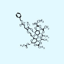 CNC(=O)O[C@H]1[C@H](OC(C)=O)[C@H](OC(C)=O)[C@@H](O[C@@H]2C(OCCOCCNC(=O)OCc3ccccc3)O[C@@H](COC(C)=O)[C@@H](OC(C)=O)[C@@H]2OC(C)=O)O[C@@H]1COC(C)=O